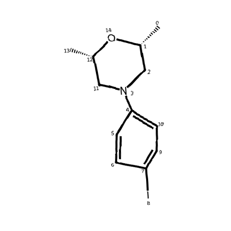 C[C@@H]1CN(c2ccc(I)cc2)C[C@H](C)O1